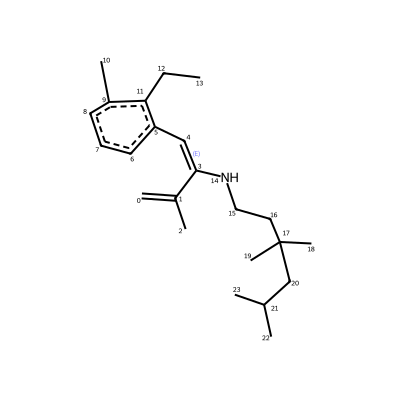 C=C(C)/C(=C\c1cccc(C)c1CC)NCCC(C)(C)CC(C)C